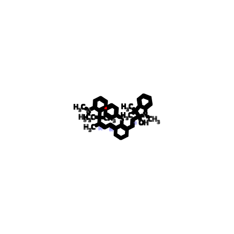 C/C(=C/C=C1\CCCC(/C=C/C2(O)N(C)c3ccccc3C2(C)C)=C1Sc1ccccc1)C(C)(C)c1ccccc1N(C)C